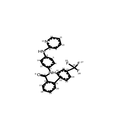 O=C(Nc1ccc(Nc2ccccn2)cc1)c1ccccc1-c1ccc(C(F)(F)F)cc1